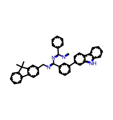 C=N/C(=N\C(=N/Cc1ccc2c(c1)C(C)(C)c1ccccc1-2)c1cccc(-c2ccc3c(c2)[nH]c2ccccc23)c1)c1ccccc1